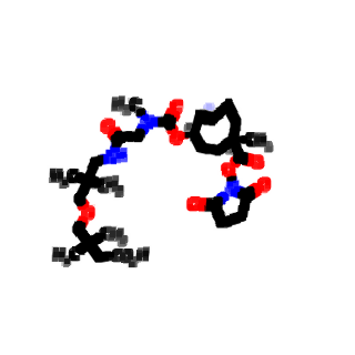 CN(CC(=O)NCC(C)(C)COCC(C)(C)CC(=O)O)C(=O)O[C@@H]1/C=C/CC[C@](C)(C(=O)ON2C(=O)CCC2=O)CC1